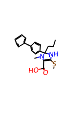 CCCC1(c2ccc(-c3ccccc3)cc2)NC(SC)=C(C(=O)O)N1C